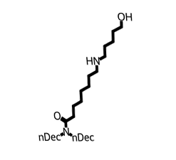 CCCCCCCCCCN(CCCCCCCCCC)C(=O)CCCCCCCNCCCCCO